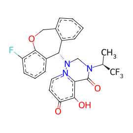 C[C@H](N1CN([C@H]2c3ccccc3COc3c(F)cccc32)n2ccc(=O)c(O)c2C1=O)C(F)(F)F